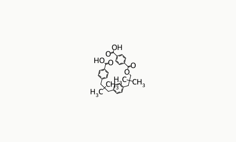 CC(C)(COC(=O)c1ccc(C(=O)O)cc1)Cc1ccc(CC(C)(C)Cc2ccc(C(=O)O)cc2)cc1